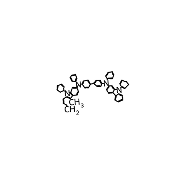 C=C/C=C\c1c(C)c2ccc(N(c3ccccc3)c3ccc(-c4ccc(N(c5ccccc5)c5ccc6c7ccccc7n(C7=CCCC=C7)c6c5)cc4)cc3)cc2n1C1C=CC=CC1